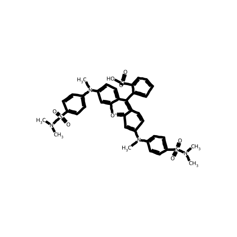 CN(c1ccc(S(=O)(=O)N(C)C)cc1)c1ccc2c(-c3ccccc3S(=O)(=O)O)c3ccc(N(C)c4ccc(S(=O)(=O)N(C)C)cc4)cc3[o+]c2c1